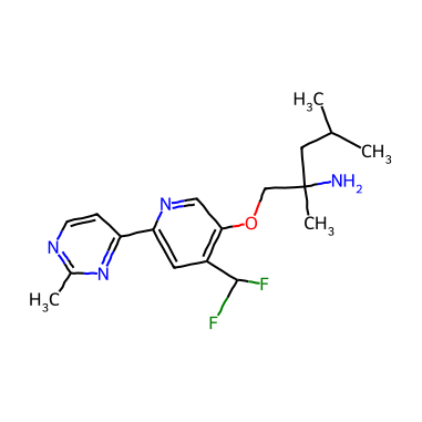 Cc1nccc(-c2cc(C(F)F)c(OCC(C)(N)CC(C)C)cn2)n1